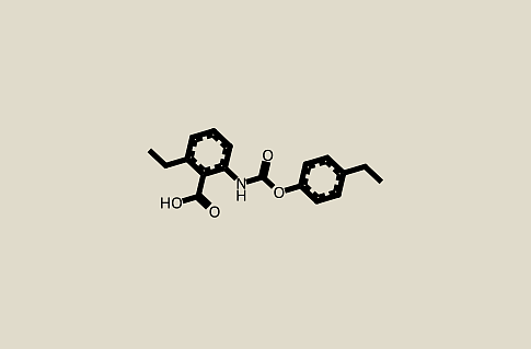 CCc1ccc(OC(=O)Nc2cccc(CC)c2C(=O)O)cc1